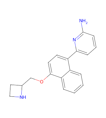 Nc1cccc(-c2ccc(OCC3CCN3)c3ccccc23)n1